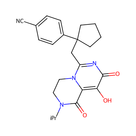 CC(C)N1CCn2c(CC3(c4ccc(C#N)cc4)CCCC3)nc(=O)c(O)c2C1=O